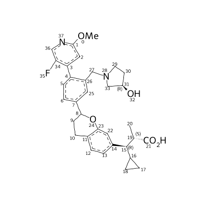 COc1cc(-c2ccc(C3CCc4ccc([C@H](C5CC5)[C@H](C)C(=O)O)cc4O3)cc2CN2CC[C@@H](O)C2)c(F)cn1